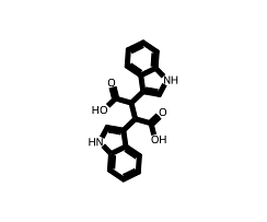 O=C(O)C(c1c[nH]c2ccccc12)C(C(=O)O)c1c[nH]c2ccccc12